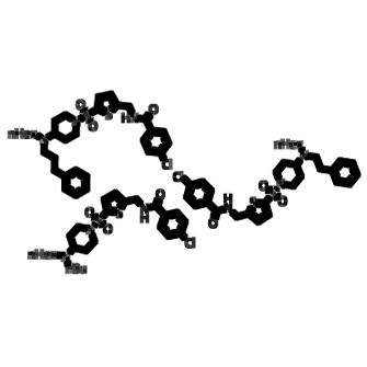 CCCCCCN(CCCC)C1CCN(S(=O)(=O)c2ccc(CNC(=O)c3ccc(Cl)cc3)s2)CC1.CCCCCCN(CCCc1ccccc1)C1CCN(S(=O)(=O)c2ccc(CNC(=O)c3ccc(Cl)cc3)s2)CC1.CCCCCCN(CCc1ccccc1)C1CCN(S(=O)(=O)c2ccc(CNC(=O)c3ccc(Cl)cc3)s2)CC1